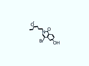 C=C/C(=C\C=C\n1cc(Br)c2cc(O)ccc2c1=O)OC